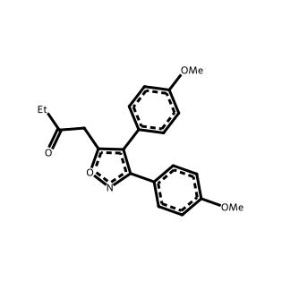 CCC(=O)Cc1onc(-c2ccc(OC)cc2)c1-c1ccc(OC)cc1